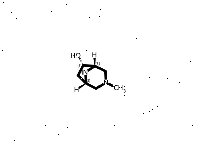 CN1C[C@@H]2C[C@H](O)[C@H](C1)N2